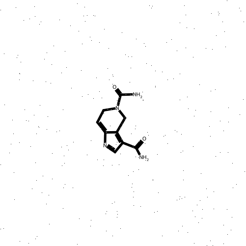 NC(=O)C1=C2CN(C(N)=O)CC=C2N=C1